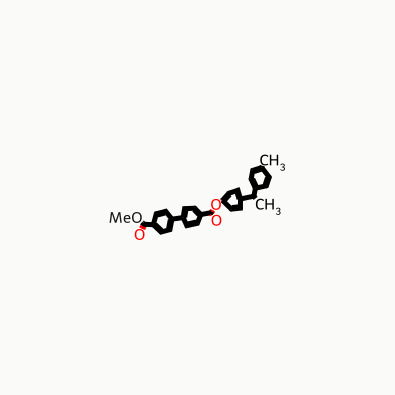 COC(=O)c1ccc(-c2ccc(C(=O)Oc3ccc(C(C)c4ccc(C)cc4)cc3)cc2)cc1